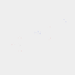 CCO[Si](CCCNC(=O)OCC[N+](C)(C)C)(OCC)OCC